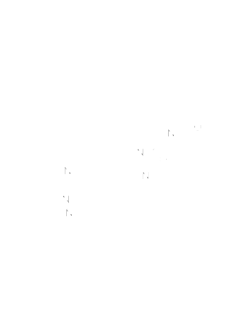 CC1COCCN1CC(=O)Nc1cc2cc(-c3cnn(C)c3CN3CCCCC3)ccc2cn1